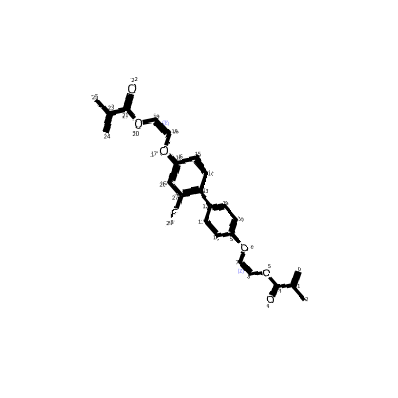 C=C(C)C(=O)O/C=C\Oc1ccc(-c2ccc(O/C=C\OC(=O)C(=C)C)cc2F)cc1